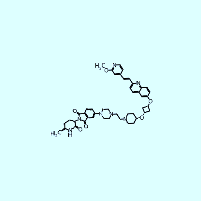 C=C1CCC(N2C(=O)c3ccc(N4CCN(CCN5CCC(O[C@H]6C[C@H](Oc7ccc8nc(/C=C/c9ccnc(OC)c9)ccc8c7)C6)CC5)CC4)cc3C2=O)C(=O)N1